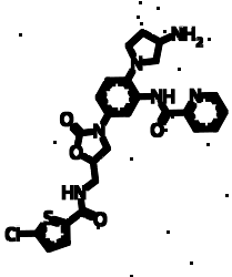 NC1CCN(c2ccc(N3CC(CNC(=O)c4ccc(Cl)s4)OC3=O)cc2NC(=O)c2ccccn2)C1